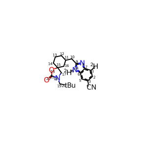 [2H]c1cc(C#N)cc2c1nc(CC1CCCC3(C1)CN(CC(C)(C)C)C(=O)O3)n2[2H]